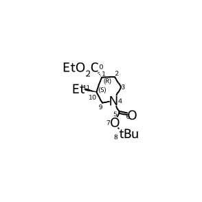 CCOC(=O)[C@@H]1CCN(C(=O)OC(C)(C)C)C[C@H]1CC